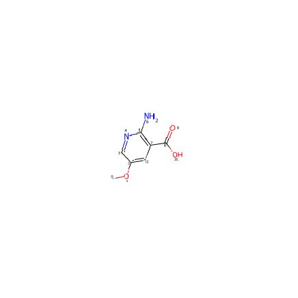 COc1cnc(N)c(C(=O)O)c1